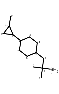 BC(C)(C)CC1CCC(C2CC2C)CC1